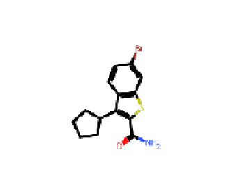 NC(=O)c1sc2cc(Br)ccc2c1C1CCCC1